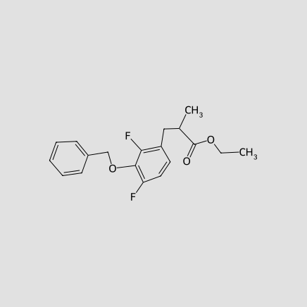 CCOC(=O)C(C)Cc1ccc(F)c(OCc2ccccc2)c1F